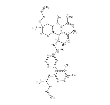 C=CCOC1(C)CCN(c2c([C@H](OC(C)(C)C)C(=O)OC)c(C)nc3cc(-c4cccc(-c5c(O[C@@H](C)CC=C)ccc(F)c5C)c4)nn23)CC1